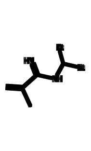 C=C(C)C(=N)NC(CC)CC